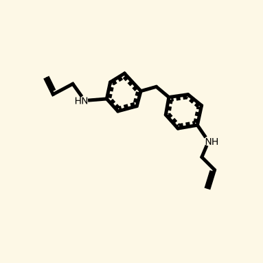 C=CCNc1ccc(Cc2ccc(NCC=C)cc2)cc1